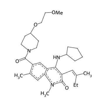 CC/C(C)=C\c1c(NC2CCCC2)c2cc(C(=O)N3CCC(OCCOC)CC3)c(C)cc2n(C)c1=O